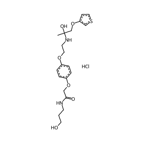 CC(O)(COc1ccsc1)NCCOc1ccc(OCC(=O)NCCCO)cc1.Cl